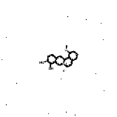 COc1cccc2cc[n+]3cc4c(O)c(O)ccc4cc3c12.[Br-]